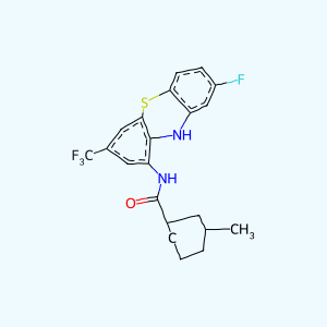 CC1CCCC(C(=O)Nc2cc(C(F)(F)F)cc3c2Nc2cc(F)ccc2S3)C1